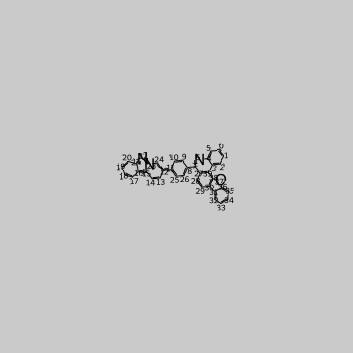 c1ccc2c(c1)nc(-c1ccc(-c3ccc4c5ccccc5nn4c3)cc1)c1ccc3c4ccccc4oc3c12